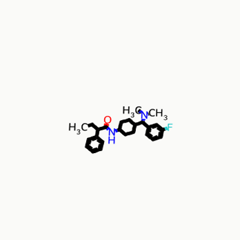 CCC(C(=O)NC1CCC(C(c2cccc(F)c2)N(C)C)CC1)c1ccccc1